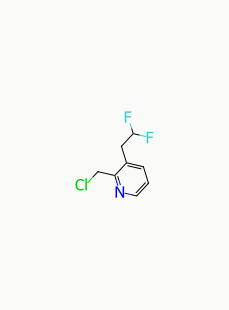 FC(F)Cc1cccnc1CCl